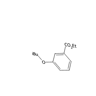 CCOC(=O)c1cccc(OC(C)CC)c1